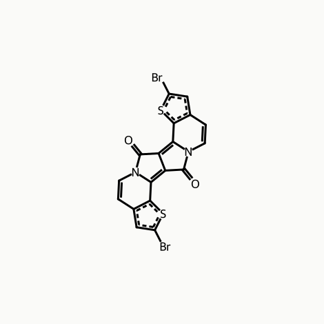 O=C1C2=C3c4sc(Br)cc4C=CN3C(=O)C2=C2c3sc(Br)cc3C=CN12